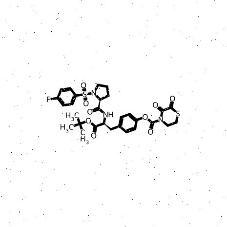 CC(C)(C)OC(=O)[C@H](Cc1ccc(OC(=O)N2CCSC(=O)C2=O)cc1)NC(=O)[C@@H]1CCCN1S(=O)(=O)c1ccc(F)cc1